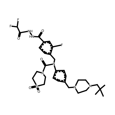 CC(C)(C)CN1CCN(Cc2ccc(N(Cc3ccc(C(=O)NNC(=O)C(F)F)cc3F)C(=O)N3CCS(=O)(=O)CC3)cc2)CC1